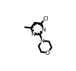 Cc1cc(Cl)nc(N2CCOCC2)n1